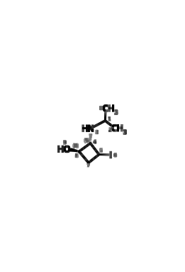 CC(C)N[C@@H]1C(I)C[C@H]1O